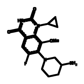 COc1c(N2CCCC(N)C2)c(F)cc2c(=O)[nH]c(=O)n(C3CC3)c12